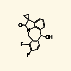 O=C1N2Cc3c(ccc(F)c3F)C(O)c3cccc(c32)C12CC2